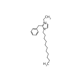 CCCCCCCCCCCn1cc[n+](CC)c1Cc1ccccc1